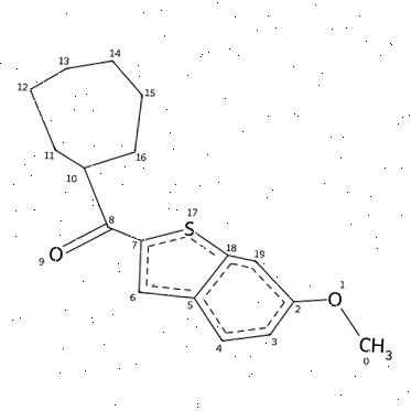 COc1ccc2cc(C(=O)C3CCCCCC3)sc2c1